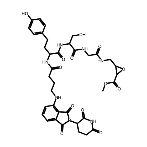 COC(=O)C1OC1CNC(=O)CNC(=O)C(CO)NC(=O)C(CCc1ccc(O)cc1)NC(=O)CCCNc1cccc2c1C(=O)N(C1CCC(=O)NC1=O)C2=O